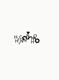 Cc1cc2c(cc(CNC(=O)c3ccccc3)n2C2CC2)nc1N